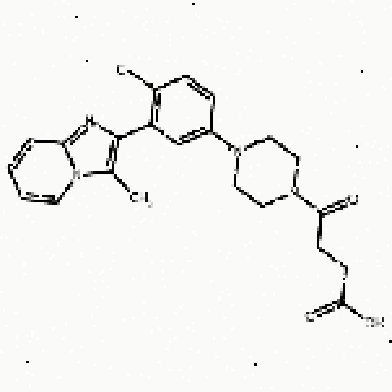 Cc1c(-c2cc(N3CCN(C(=O)CCC(=O)O)CC3)ccc2Cl)nc2ccccn12